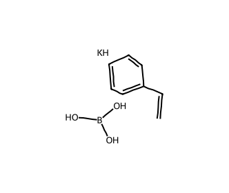 C=Cc1ccccc1.OB(O)O.[KH]